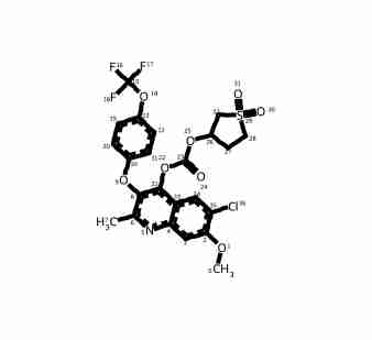 COc1cc2nc(C)c(Oc3ccc(OC(F)(F)F)cc3)c(OC(=O)OC3CCS(=O)(=O)C3)c2cc1Cl